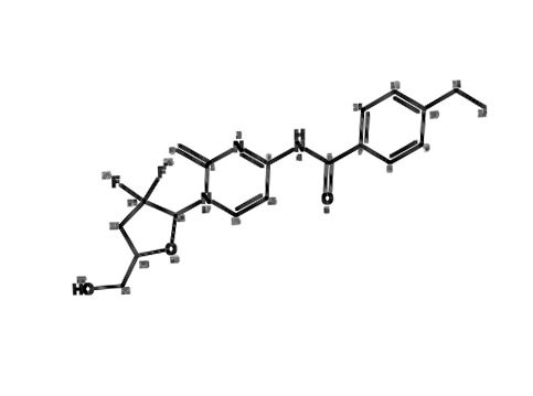 C=C1N=C(NC(=O)c2ccc(CC)cc2)C=CN1C1OC(CO)CC1(F)F